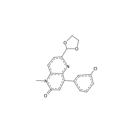 Cn1c(=O)cc(-c2cccc(Cl)c2)c2nc(C3OCCO3)ccc21